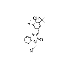 CC(C)(C)c1cc(/C=C2\Sc3ccccc3N(CC#N)C2=O)cc(C(C)(C)C)c1O